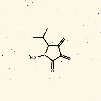 BN1C(=O)C(=C)C(=C)C1C(C)C